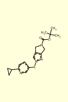 CC(C)(C)OC(=O)N1Cc2cn(Sc3ccc(C4CC4)nc3)nc2C1